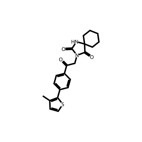 Cc1ccsc1-c1ccc(C(=O)CN2C(=O)NC3(CCCCC3)C2=O)cc1